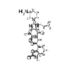 CC(C)=CCn1c(N2CCCC(N)C2)nc2c1c(=O)n(CC(=O)c1cccc3c1oc(=O)n3C)c(=O)n2C